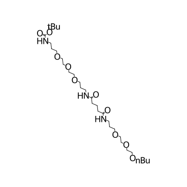 CCCCOCCOCCOCCCNC(=O)CCCC(=O)NCCCOCCOCCOCCCNC(=O)OC(C)(C)C